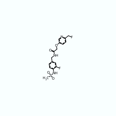 CS(=O)(=O)Nc1ccc(CNC(=O)COc2ccc(CF)nc2)cc1F